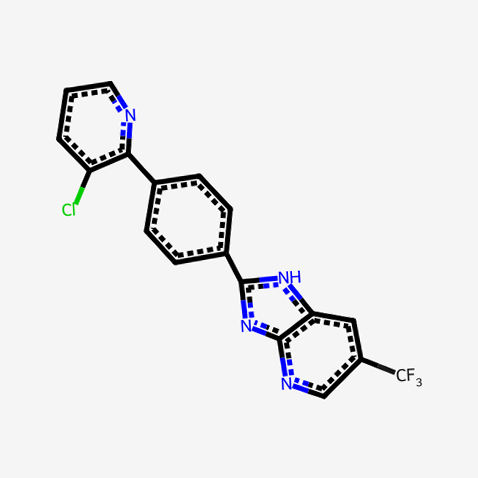 FC(F)(F)c1cnc2nc(-c3ccc(-c4ncccc4Cl)cc3)[nH]c2c1